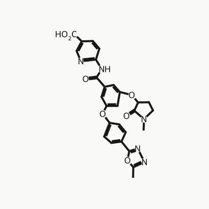 Cc1nnc(-c2ccc(Oc3cc(OC4CCN(C)C4=O)cc(C(=O)Nc4ccc(C(=O)O)cn4)c3)cc2)o1